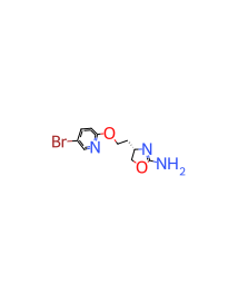 NC1=N[C@@H](CCOc2ccc(Br)cn2)CO1